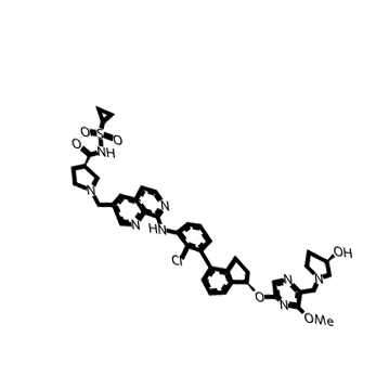 COc1nc(O[C@@H]2CCc3c(-c4cccc(Nc5nccc6cc(CN7CC[C@@H](C(=O)NS(=O)(=O)C8CC8)C7)cnc56)c4Cl)cccc32)cnc1CN1CC[C@@H](O)C1